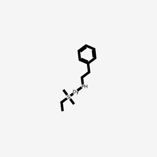 CC[Si](C)(C)[Dy][PH]CCc1ccccc1